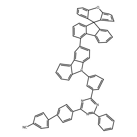 N#Cc1ccc(-c2ccc(-c3nc(-c4ccccc4)nc(-c4cccc(-n5c6ccccc6c6cc(-c7cccc8c7-c7ccccc7C87c8ccccc8Oc8ccccc87)ccc65)c4)n3)cc2)cc1